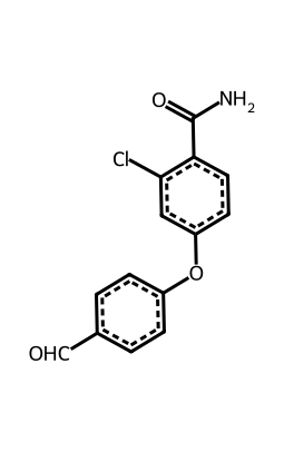 NC(=O)c1ccc(Oc2ccc(C=O)cc2)cc1Cl